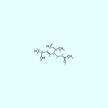 CC(=O)CCC(/C=C/C(C)O)C(C)C